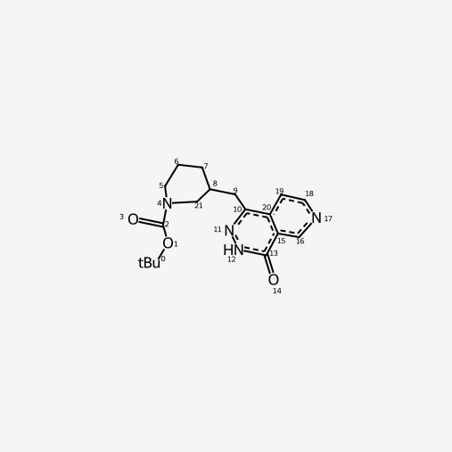 CC(C)(C)OC(=O)N1CCCC(Cc2n[nH]c(=O)c3cnccc23)C1